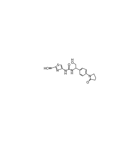 C#Cc1nc(NC(=O)NC(CO)c2ccc(N3CCCC3=O)cc2)cs1